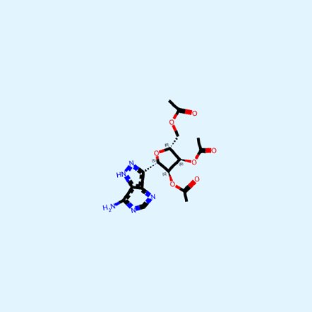 CC(=O)OC[C@H]1O[C@@H](c2n[nH]c3c(N)ncnc23)[C@H](OC(C)=O)[C@@H]1OC(C)=O